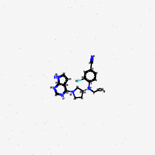 CCN(c1ccc(C#N)cc1F)[C@@H]1CCN(c2ncnc3[nH]ccc23)C1